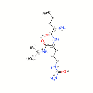 CSCC[C@H](N)C(=O)N[C@@H](CCCNC(N)=O)C(=O)N[C@H](C(=O)O)C(C)C